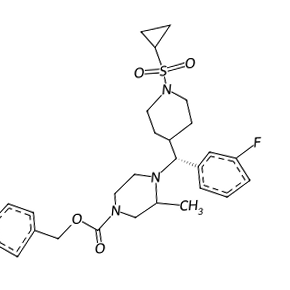 CC1CN(C(=O)OCc2ccccc2)CCN1[C@@H](c1cccc(F)c1)C1CCN(S(=O)(=O)C2CC2)CC1